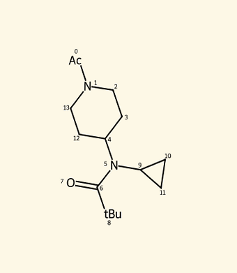 CC(=O)N1CCC(N(C(=O)C(C)(C)C)C2CC2)CC1